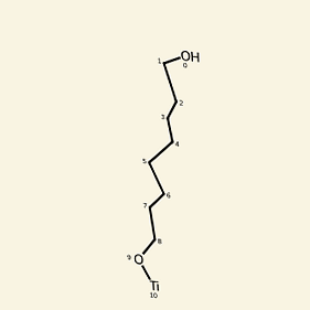 OCCCCCCCC[O][Ti]